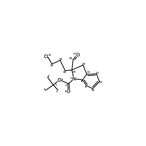 CC(C)(C)OC(=O)N1c2ccccc2CC1(C=O)CCCCl